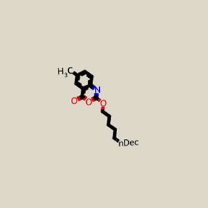 CCCCCCCCCCCCCCCOc1nc2ccc(C)cc2c(=O)o1